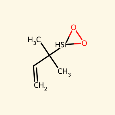 C=CC(C)(C)[SiH]1OO1